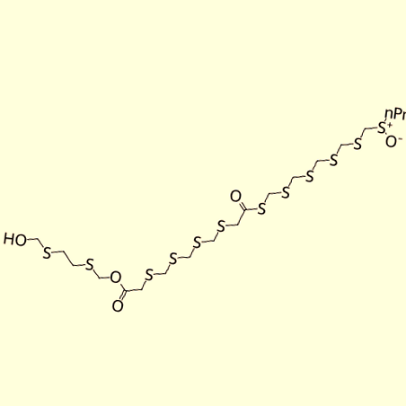 CCC[S+]([O-])CSCSCSCSCSC(=O)CSCSCSCSCC(=O)OCSCCSCO